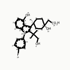 CC(C)(CO)c1c([C@]2(C)CC[C@](O)(CC(=O)O)CC2)c2c(O)cccc2n1-c1ccc(F)cc1